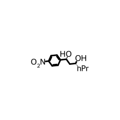 CCC[C@@H](O)C[C@@H](O)c1ccc([N+](=O)[O-])cc1